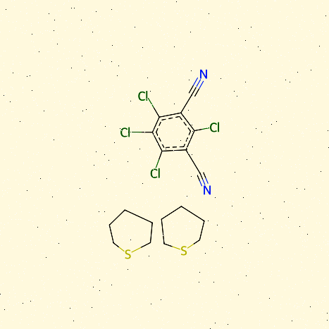 C1CCSCC1.C1CCSCC1.N#Cc1c(Cl)c(Cl)c(Cl)c(C#N)c1Cl